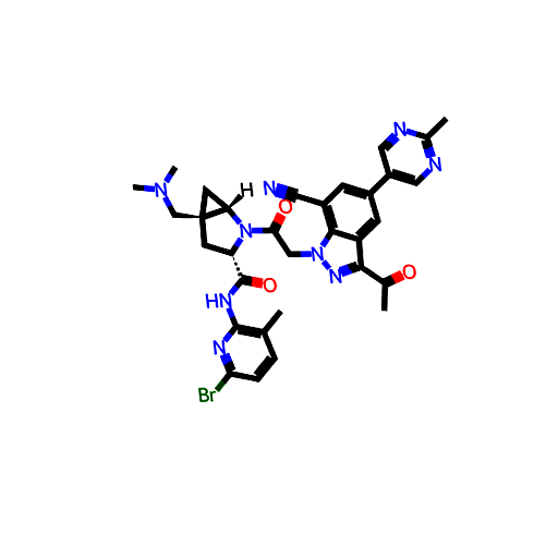 CC(=O)c1nn(CC(=O)N2[C@H]3C[C@@]3(CN(C)C)C[C@H]2C(=O)Nc2nc(Br)ccc2C)c2c(C#N)cc(-c3cnc(C)nc3)cc12